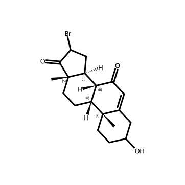 C[C@]12CCC(O)CC1=CC(=O)[C@@H]1[C@H]2CC[C@]2(C)C(=O)C(Br)C[C@@H]12